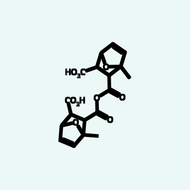 CC12C=CC(O1)C(C(=O)O)C2C(=O)OC(=O)C1C(C(=O)O)C2C=CC1(C)O2